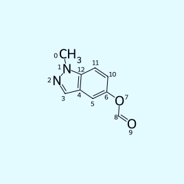 Cn1ncc2cc(OC=O)ccc21